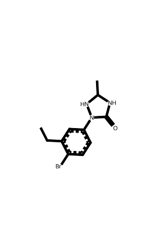 CCc1cc(N2NC(C)NC2=O)ccc1Br